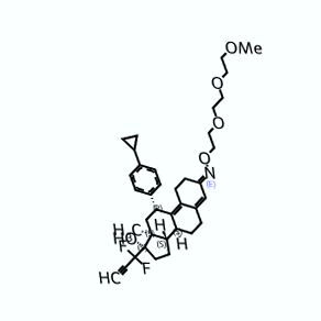 C#CC(F)(F)[C@]1(O)CC[C@H]2[C@@H]3CCC4=C/C(=N/OCCOCCOCCOC)CCC4=C3[C@@H](c3ccc(C4CC4)cc3)C[C@@]21C